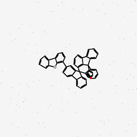 c1ccc(C23c4ccccc4-c4cccc(c42)C2(c4ccccc4-c4ccc(-c5cccc6c5oc5ccccc56)cc42)c2ccccc23)cc1